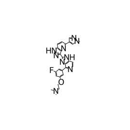 CN(C)CCOc1cc(F)cc(-c2nccc3[nH]c(-c4n[nH]c5ccc(-c6cnn(C)c6)nc45)nc23)c1